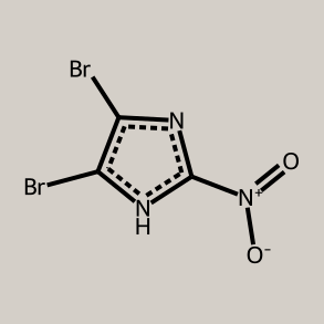 O=[N+]([O-])c1nc(Br)c(Br)[nH]1